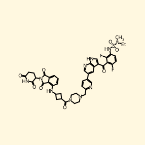 CCN(C)S(=O)(=O)Nc1ccc(F)c(C(=O)c2c[nH]c3ncc(-c4ccc(CN5CCN(C(=O)C6CC(Nc7cccc8c7C(=O)N(C7CCC(=O)NC7=O)C8=O)C6)CC5)nc4)cc23)c1F